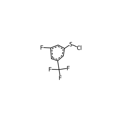 Fc1cc(SCl)cc(C(F)(F)F)c1